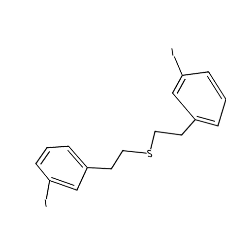 Ic1cccc(CCSCCc2cccc(I)c2)c1